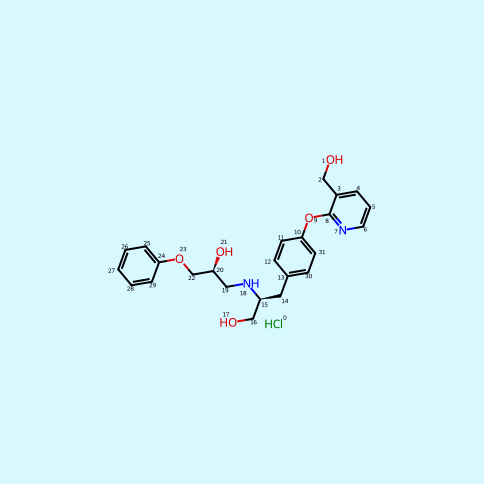 Cl.OCc1cccnc1Oc1ccc(C[C@@H](CO)NC[C@H](O)COc2ccccc2)cc1